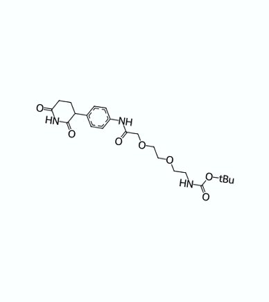 CC(C)(C)OC(=O)NCCOCCOCC(=O)Nc1ccc(C2CCC(=O)NC2=O)cc1